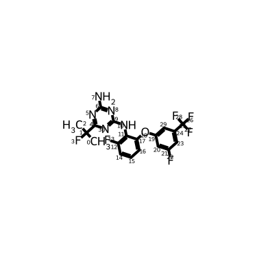 CC(C)(F)c1nc(N)nc(Nc2c(F)cccc2Oc2cc(F)cc(C(F)(F)F)c2)n1